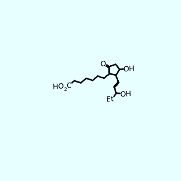 CCC(O)/C=C/C1C(O)CC(=O)C1CCCCCCC(=O)O